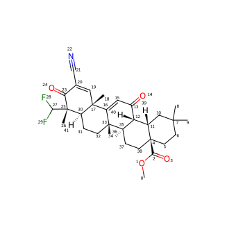 COC(=O)[C@]12CCC(C)(C)C[C@H]1[C@H]1C(=O)C=C3[C@@]4(C)C=C(C#N)C(=O)[C@@](C)(C(F)F)[C@@H]4CC[C@@]3(C)[C@]1(C)CC2